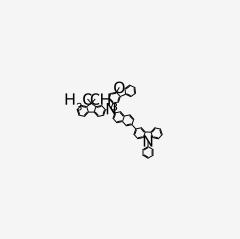 CC1(C)c2ccccc2-c2ccc(N(c3ccc4cc(-c5ccc6c(c5)c5ccccc5n6-c5ccccc5)ccc4c3)c3ccc4oc5ccccc5c4c3)cc21